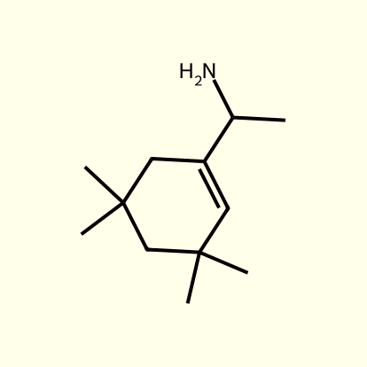 CC(N)C1=CC(C)(C)CC(C)(C)C1